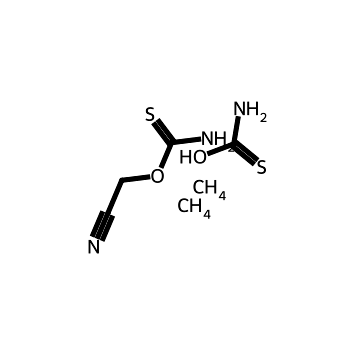 C.C.N#CCOC(N)=S.NC(O)=S